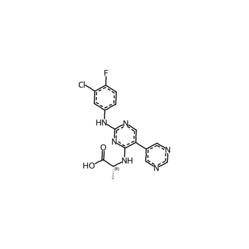 C[C@@H](Nc1nc(Nc2ccc(F)c(Cl)c2)ncc1-c1cncnc1)C(=O)O